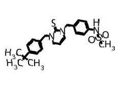 CC(C)(C)c1ccc(CN2CC=CN(Cc3ccc(NS(C)(=O)=O)cc3)C2=S)cc1